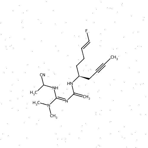 C=C(/N=C(\NC(C)C#N)N(C)C)N[C@H](CC#CC)CC/C=C/F